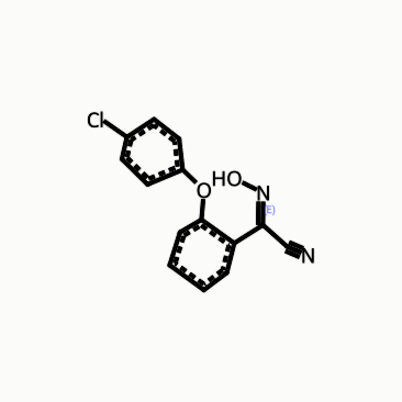 N#C/C(=N/O)c1ccccc1Oc1ccc(Cl)cc1